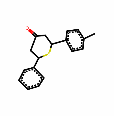 Cc1ccc(C2CC(=O)CC(c3ccccc3)S2)cc1